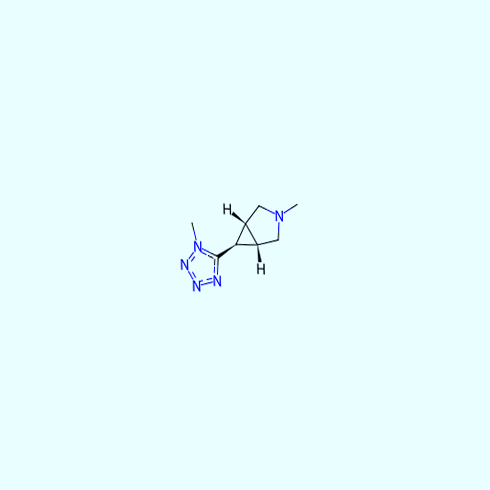 CN1C[C@@H]2[C@H](C1)[C@H]2c1nnnn1C